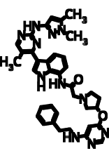 Cc1cnc(Nc2cc(C)n(C)n2)nc1-c1c[nH]c2c(NC(=O)CN3CCC(Oc4cc(NCCc5ccccc5)ncn4)C3)cccc12